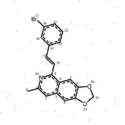 Cc1cc2cc3c(cc2c(C=Cc2cccc(Br)c2)n1)OCO3